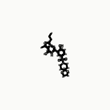 CCCc1nc(C)c2c(=O)[nH]c(-c3cc(S(=O)(=O)N4CCC5(CC4)OCCO5)ccc3O)nn12